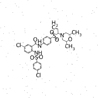 C=CC(N1CC(C)OC(C)C1)S(=O)(=O)c1ccc(NC(=O)c2cc(Cl)ccc2NS(=O)(=O)c2ccc(Cl)cc2)cc1